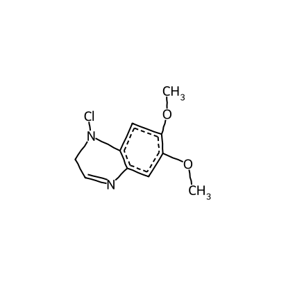 COc1cc2c(cc1OC)N(Cl)CC=N2